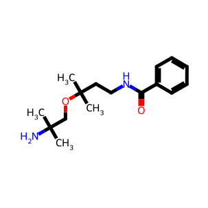 CC(C)(N)COC(C)(C)CCNC(=O)c1ccccc1